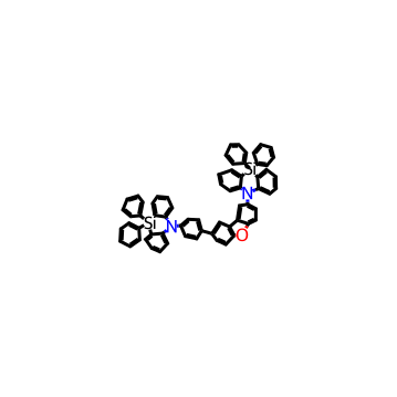 c1ccc([Si]2(c3ccccc3)c3ccccc3N(c3ccc(-c4ccc5oc6ccc(N7c8ccccc8[Si](c8ccccc8)(c8ccccc8)c8ccccc87)cc6c5c4)cc3)c3ccccc32)cc1